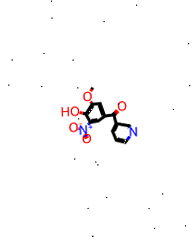 COc1cc(C(=O)c2cccnc2)cc([N+](=O)[O-])c1O